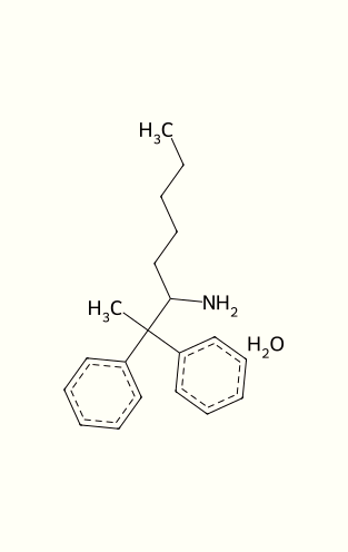 CCCCCC(N)C(C)(c1ccccc1)c1ccccc1.O